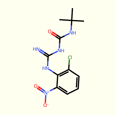 CC(C)(C)NC(=O)NC(=N)Nc1c(Cl)cccc1[N+](=O)[O-]